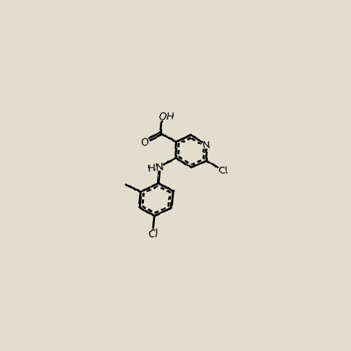 Cc1cc(Cl)ccc1Nc1cc(Cl)ncc1C(=O)O